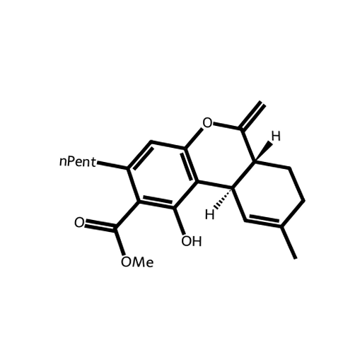 C=C1Oc2cc(CCCCC)c(C(=O)OC)c(O)c2[C@@H]2C=C(C)CC[C@@H]12